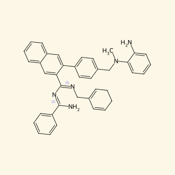 CN(Cc1ccc(-c2cc3ccccc3cc2C(/N=C(\N)c2ccccc2)=N/CC2=CCCC=C2)cc1)c1ccccc1N